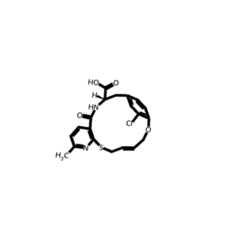 Cc1ccc2c(n1)SC/C=C/COc1ccc(cc1Cl)C[C@@H](C(=O)O)NC2=O